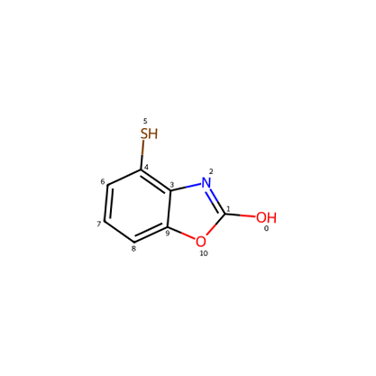 Oc1nc2c(S)cccc2o1